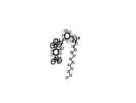 CCCCCCCCCCCC[N+](C)(C)Cc1ccccc1.Cc1cc([N+](=O)[O-])ccc1S(=O)(=O)O